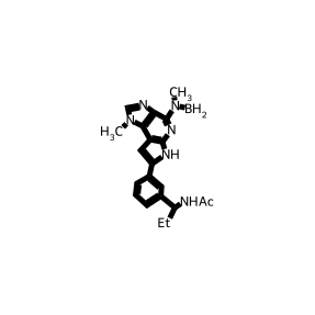 BN(C)c1nc2[nH]c(-c3cccc(C(CC)NC(C)=O)c3)cc2c2c1ncn2C